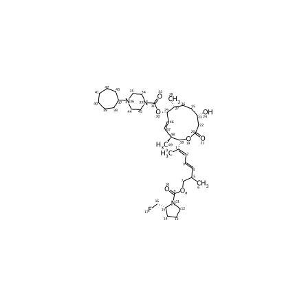 C/C(=C\C=C\C(C)COC(=O)N1CCC[C@@H]1CF)[C@H]1OC(=O)C[C@@H](O)CC[C@@H](C)[C@@H](OC(=O)N2CCN(C3CCCCCC3)CC2)/C=C/[C@@H]1C